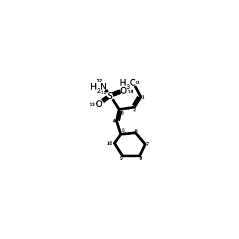 C/C=C\C(=C/C1CCCCC1)S(N)(=O)=O